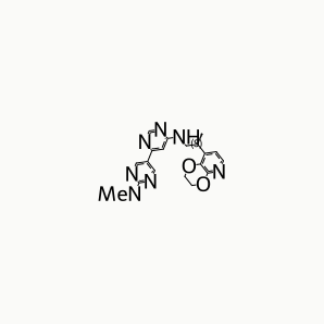 CNc1ncc(-c2cc(NC[C@@H](C)c3ccnc4c3OCCO4)ncn2)cn1